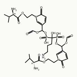 CC(C)[C@@H](N)C(=O)OCCn1cc(C(OC=O)OP(=O)(O)C(O)(CCCN)P(=O)(O)OC(OC=O)c2ccc(=O)n(CCOC(=O)[C@H](N)C(C)C)c2)ccc1=O